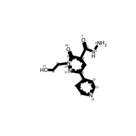 NNC(=O)c1cc(-c2ccncc2)nn(CCO)c1=O